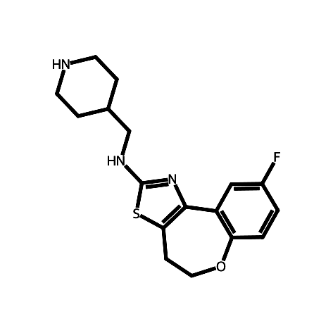 Fc1ccc2c(c1)-c1nc(NCC3CCNCC3)sc1CCO2